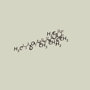 CCCCC(=O)OC/C=C(C)/C=C/C=C(C)/C=C/C1=C(C)CCCC1(C)C